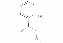 C[C@@H](CN)c1ccccc1.Cl